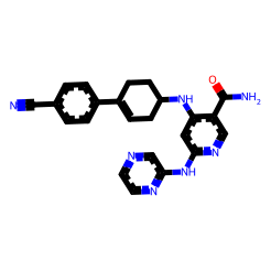 N#Cc1ccc(C2=CCC(Nc3cc(Nc4cnccn4)ncc3C(N)=O)CC2)cc1